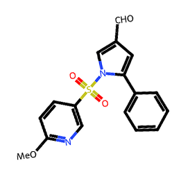 COc1ccc(S(=O)(=O)n2cc(C=O)cc2-c2ccccc2)cn1